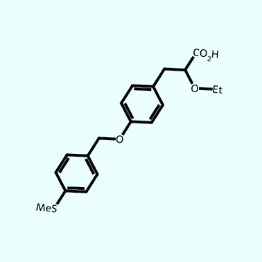 CCOC(Cc1ccc(OCc2ccc(SC)cc2)cc1)C(=O)O